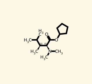 CC(C)[C@H](C)[C@@H](C(=O)OC1CCCC1)N(C)C